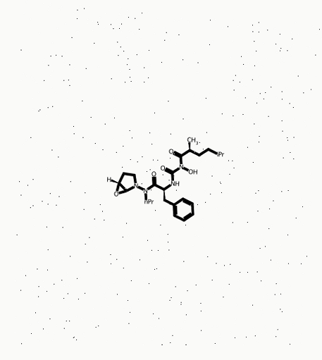 CCCN(C(=O)[C@H](Cc1ccccc1)NC(=O)N(O)C(=O)[C@@H](C)CCC(C)C)N1CC[C@H]2OC21